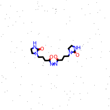 O=C(CCCN1CCNC1=O)/N=N\C(=O)CCCN1CCNC1=O